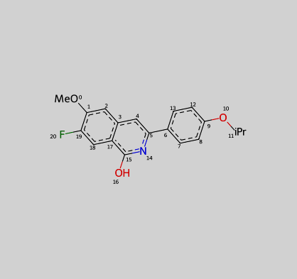 COc1cc2cc(-c3ccc(OC(C)C)cc3)nc(O)c2cc1F